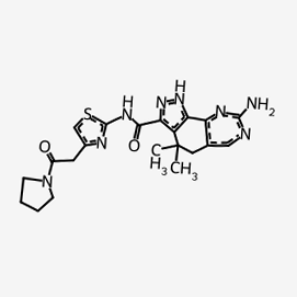 CC1(C)Cc2cnc(N)nc2-c2[nH]nc(C(=O)Nc3nc(CC(=O)N4CCCC4)cs3)c21